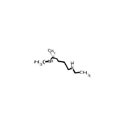 CCNCCCC[C@@H](C)NC